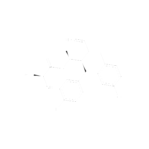 C=C[C@H](Cc1ccc(C(F)(F)F)cc1)[C@@H](Cc1ccc(F)cc1)[C@H](C)OC(=O)[C@H](C)N